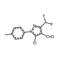 Cc1ccc(-n2nc(C(F)F)c(C=O)c2Cl)cc1